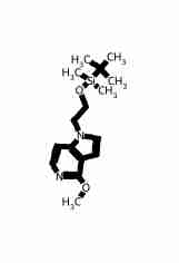 COc1nccc2c1ccn2CCO[Si](C)(C)C(C)(C)C